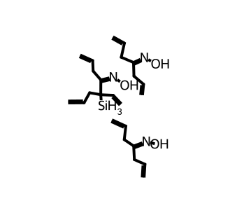 C=CCC(=NO)C([SiH3])(C=C)CC=C.C=CCC(CC=C)=NO.C=CCC(CC=C)=NO